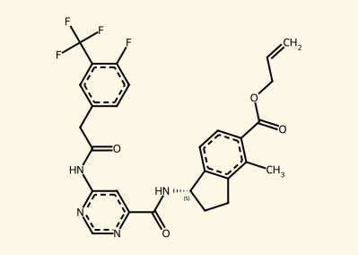 C=CCOC(=O)c1ccc2c(c1C)CC[C@@H]2NC(=O)c1cc(NC(=O)Cc2ccc(F)c(C(F)(F)F)c2)ncn1